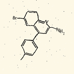 Cc1ccc(-c2cc(N)nc3ccc(Br)cc23)cc1